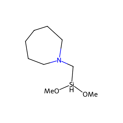 CO[SiH](CN1CCCCCC1)OC